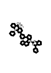 CC1(C)c2ccccc2N(c2ccccc2)c2cc(-c3cccc(-c4cccc5c4c4c6ccccc6ccc4n5-c4nc(-c5ccccc5)c5ccccc5n4)c3)ccc21